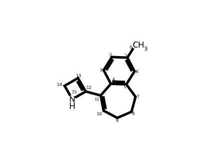 Cc1ccc2c(c1)CCCC=C2C1=CCN1